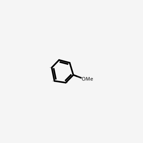 COc1[c][c][c]cc1